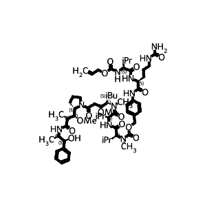 C=CCOC(=O)N[C@H](C(=O)N[C@@H](CCCNC(N)=O)C(=O)Nc1ccc(COC(=O)N(C)[C@H](C(=O)N[C@H](C(=O)N(C)[C@@H]([C@@H](C)CC)[C@@H](CC(=O)N2CCC[C@H]2[C@H](OC)[C@@H](C)C(=O)N[C@H](C)[C@@H](O)c2ccccc2)OC)C(C)C)C(C)C)cc1)C(C)C